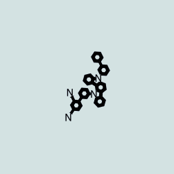 N#Cc1ccc(-c2cccc(-n3c4ccccc4c4ccc5c(c6ccccc6n5-c5cccc(-c6ccccc6)c5)c43)c2)c(C#N)c1